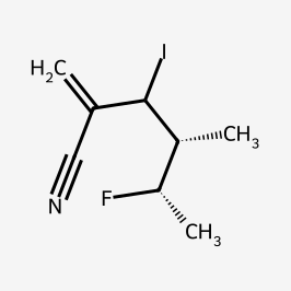 C=C(C#N)C(I)[C@H](C)[C@H](C)F